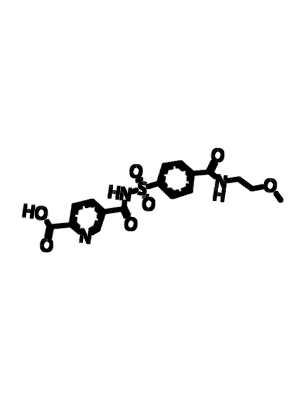 COCCNC(=O)c1ccc(S(=O)(=O)NC(=O)c2ccc(C(=O)O)nc2)cc1